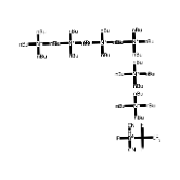 CCCC[N+](CCCC)(CCCC)CCCC.CCCC[N+](CCCC)(CCCC)CCCC.CCCC[N+](CCCC)(CCCC)CCCC.CCCC[N+](CCCC)(CCCC)CCCC.CCCC[N+](CCCC)(CCCC)CCCC.CCCC[N+](CCCC)(CCCC)CCCC.N#C[BH5-6](F)(C#N)C(F)(F)C(F)(F)F